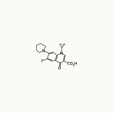 O=C(O)c1cn(C2CC2)c2cc(N3CCCCC3)c(F)cc2c1=O